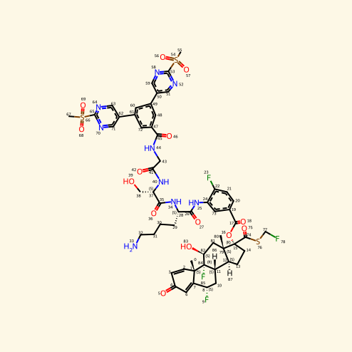 C[C@]12C=CC(=O)C=C1[C@@H](F)C[C@H]1[C@@H]3CC[C@](OC(=O)c4ccc(F)c(NC(=O)[C@H](CCCCN)NC(=O)[C@H](CO)NC(=O)CNC(=O)c5cc(-c6cnc(S(C)(=O)=O)nc6)cc(-c6cnc(S(C)(=O)=O)nc6)c5)c4)(C(=O)SCF)[C@@]3(C)C[C@H](O)[C@@]12F